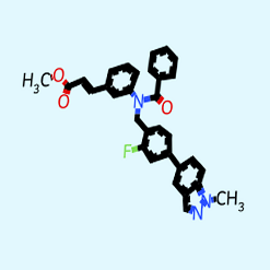 COC(=O)/C=C/c1cccc(N(Cc2ccc(-c3ccc4c(cnn4C)c3)cc2F)C(=O)c2ccccc2)c1